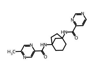 Cc1cnc(C(=O)NC23CCCC(NC(=O)c4ccncn4)(CC2)C3)cn1